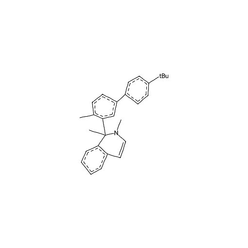 Cc1ccc(-c2ccc(C(C)(C)C)cc2)cc1C1(C)c2ccccc2C=CN1C